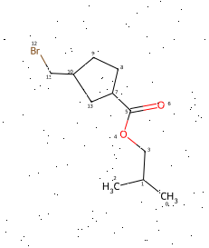 CC(C)COC(=O)C1CCC(CBr)C1